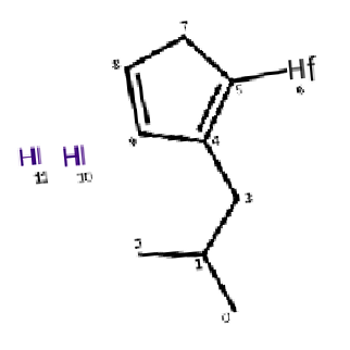 CC(C)CC1=[C]([Hf])CC=C1.I.I